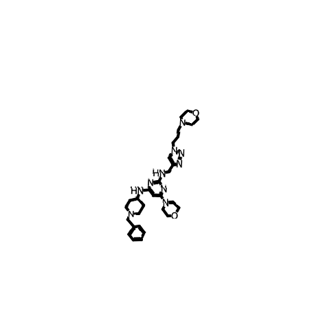 c1ccc(CN2CCC(Nc3cc(N4CCOCC4)nc(NCc4cn(CCCN5CCOCC5)nn4)n3)CC2)cc1